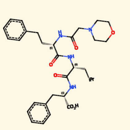 CC(C)C[C@@H](NC(=O)[C@H](CCc1ccccc1)NC(=O)CN1CCOCC1)C(=O)N[C@@H](Cc1ccccc1)C(=O)O